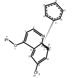 CC(C)OC1=CC=NC23O[C@H](c4ccccc4)CN=C2C=C(C(F)(F)F)C=C13